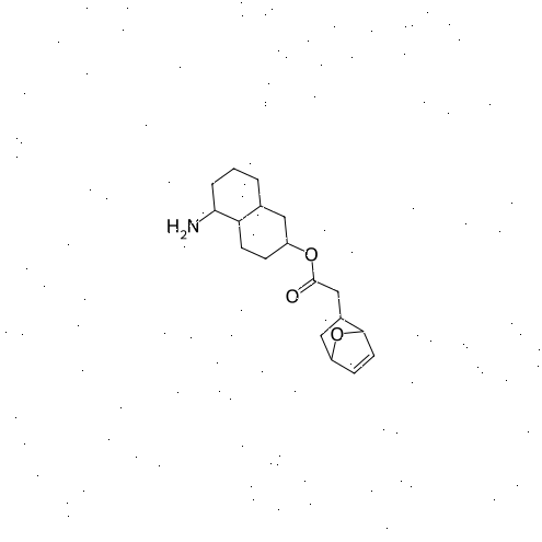 NC1CCCC2CC(OC(=O)CC3CC4C=CC3O4)CCC12